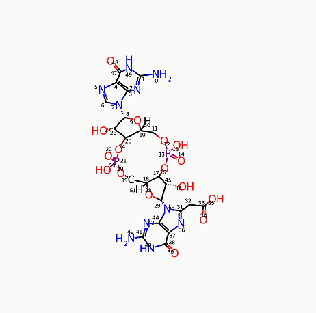 Nc1nc2c(ncn2[C@@H]2O[C@@H]3COP(=O)(O)OC4[C@@H](COP(=O)(O)OC3[C@@H]2O)O[C@@H](n2c(CC(=O)O)nc3c(=O)[nH]c(N)nc32)[C@H]4O)c(=O)[nH]1